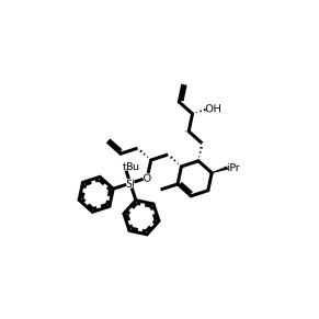 C=CC[C@H](C[C@H]1C(C)=CC[C@H](C(C)C)[C@H]1C[CH][C@@H](O)C=C)O[Si](c1ccccc1)(c1ccccc1)C(C)(C)C